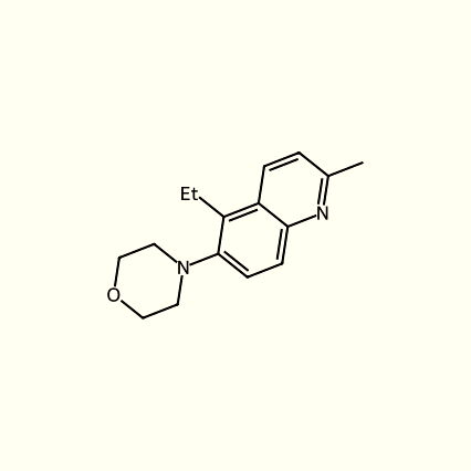 [CH2]Cc1c(N2CCOCC2)ccc2nc(C)ccc12